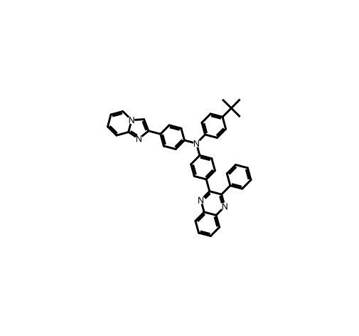 CC(C)(C)c1ccc(N(c2ccc(-c3cn4ccccc4n3)cc2)c2ccc(-c3nc4ccccc4nc3-c3ccccc3)cc2)cc1